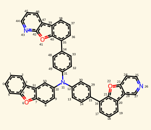 c1ccc2c(c1)oc1ccc(N(c3ccc(-c4cccc5c4oc4ccncc45)cc3)c3ccc(-c4cccc5c4oc4ncccc45)cc3)cc12